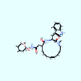 CN1CCCC=CCCCC(CC(=O)NO[C@H]2CCCCO2)C(=O)NC(Cc2c[nH]c3ccccc23)C1=O